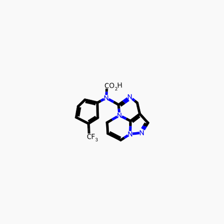 O=C(O)N(C1=NCc2cnn3c2N1CC=C3)c1cccc(C(F)(F)F)c1